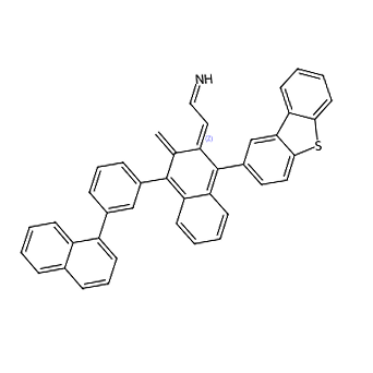 C=c1c(-c2cccc(-c3cccc4ccccc34)c2)c2ccccc2c(-c2ccc3sc4ccccc4c3c2)/c1=C/C=N